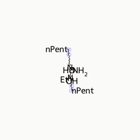 CCCCC/C=C\C/C=C/CCCCCCCCN(CCCCCCN(CCCC/C=C/C/C=C\CCCCC)CC(O)CC)CC(O)CN